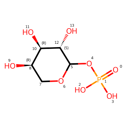 O=P(O)(O)OC1OC[C@@H](O)[C@@H](O)[C@@H]1O